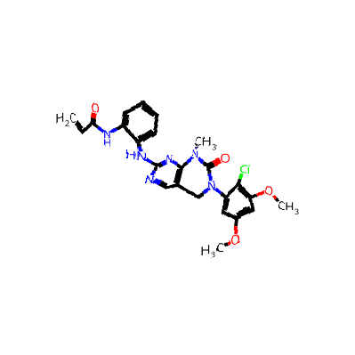 C=CC(=O)Nc1ccccc1Nc1ncc2c(n1)N(C)C(=O)N(c1cc(OC)cc(OC)c1Cl)C2